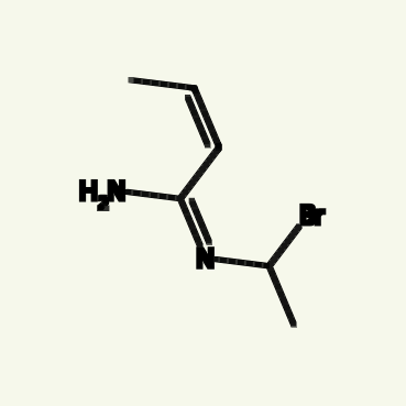 C/C=C\C(N)=N/C(C)Br